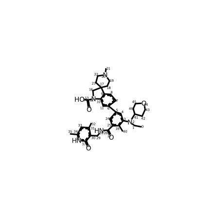 CCN(c1cc(-c2ccc3c(c2)N(C(=O)O)CC32CCN(C)CC2)cc(C(=O)NCc2c(C)cc(C)[nH]c2=O)c1C)C1CCOCC1